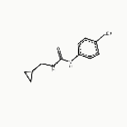 CC(C)(C)c1ccc(NC(=O)NCC2CC2)cc1